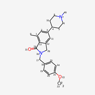 Cc1cc(C2CCN(C)CC2)cc2c1C(=O)N(Cc1ccc(OC(F)(F)F)cc1)C2